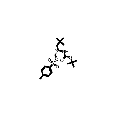 Cc1ccc(S(=O)(=O)OC[C@H](CC(C)(C)C)NC(=O)OC(C)(C)C)cc1